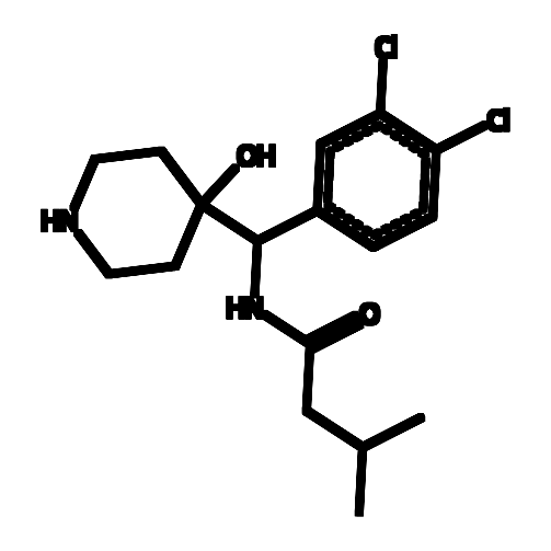 CC(C)CC(=O)NC(c1ccc(Cl)c(Cl)c1)C1(O)CCNCC1